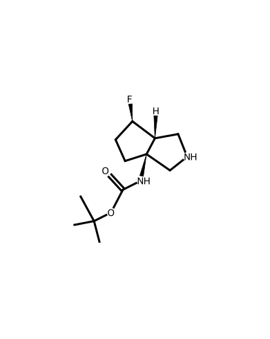 CC(C)(C)OC(=O)N[C@@]12CC[C@@H](F)[C@@H]1CNC2